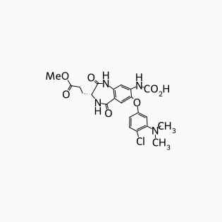 COC(=O)CC[C@H]1NC(=O)c2cc(Oc3ccc(Cl)c(N(C)C)c3)c(NC(=O)O)cc2NC1=O